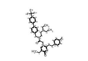 CCc1cn(CC(=O)N(CCN(CC)CC)Cc2ccc(-c3ccc(C(F)(F)F)cc3)cc2)c(CCc2ccc(F)cc2)nc1=O